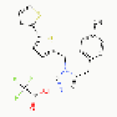 N#Cc1ccc(Cc2cncn2Cc2ccc(-c3cccs3)s2)cc1.O=C(O)C(F)(F)F